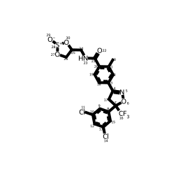 Cc1cc(C2=NOC(c3cc(Cl)cc(Cl)c3)(C(F)(F)F)C2)ccc1C(=O)NCC1CO[S+]([O-])O1